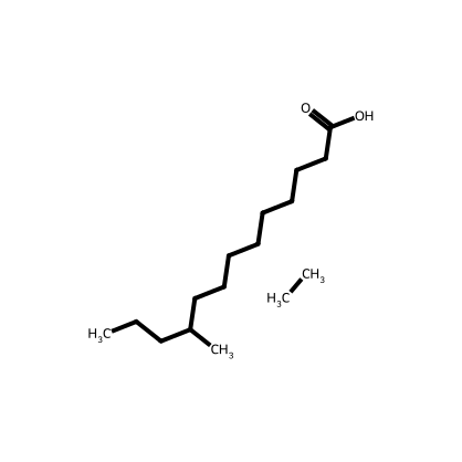 CC.CCCC(C)CCCCCCCCC(=O)O